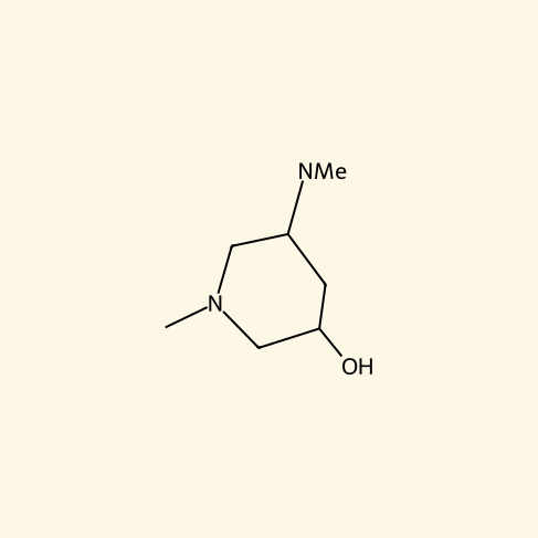 CNC1CC(O)CN(C)C1